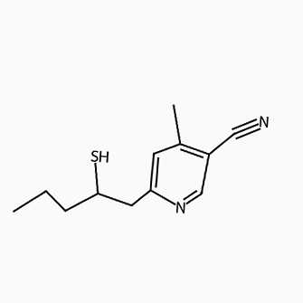 CCCC(S)Cc1cc(C)c(C#N)cn1